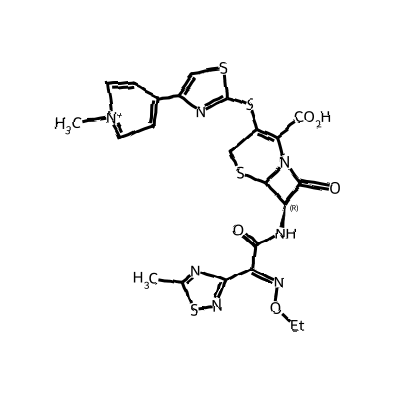 CCON=C(C(=O)N[C@@H]1C(=O)N2C(C(=O)O)=C(Sc3nc(-c4cc[n+](C)cc4)cs3)CSC12)c1nsc(C)n1